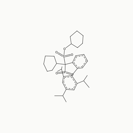 CC(C)c1cc(C(C)C)c(-c2ccccc2C(C2CCCCC2)(P(=O)=O)S(=O)(=O)OC2CCCCC2)c(C(C)C)c1